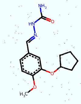 COc1ccc(/C=N/NC(N)=O)cc1OC1CCCC1